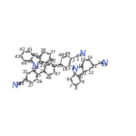 N#CC1=C(n2c3ccccc3c3cc(C#N)ccc32)CC(c2ccc(-c3ccc(C#N)cc3-n3c4ccccc4c4ccccc43)cc2)C=C1